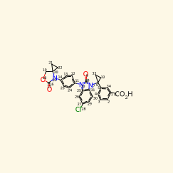 O=C(O)c1cccc(C2(n3c(=O)n(-c4ccc(N5C(=O)OCC56CC6)cc4)c4cc(Cl)ccc43)CC2)c1